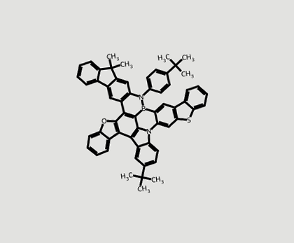 CC(C)(C)c1ccc(N2B3c4cc5c(cc4-n4c6ccc(C(C)(C)C)cc6c6c7c(oc8ccccc87)c(c3c64)-c3cc4c(cc32)C(C)(C)c2ccccc2-4)sc2ccccc25)cc1